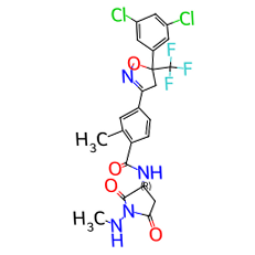 CNN1C(=O)C[C@@H](NC(=O)c2ccc(C3=NOC(c4cc(Cl)cc(Cl)c4)(C(F)(F)F)C3)cc2C)C1=O